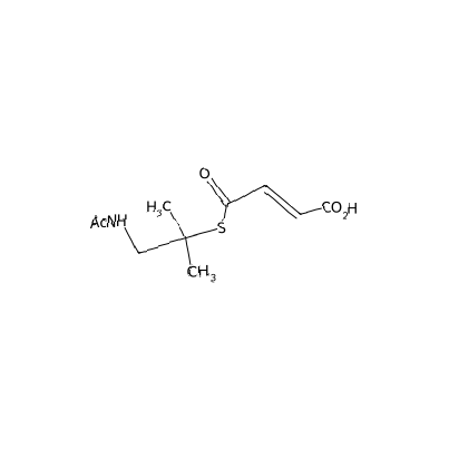 CC(=O)NCC(C)(C)SC(=O)/C=C/C(=O)O